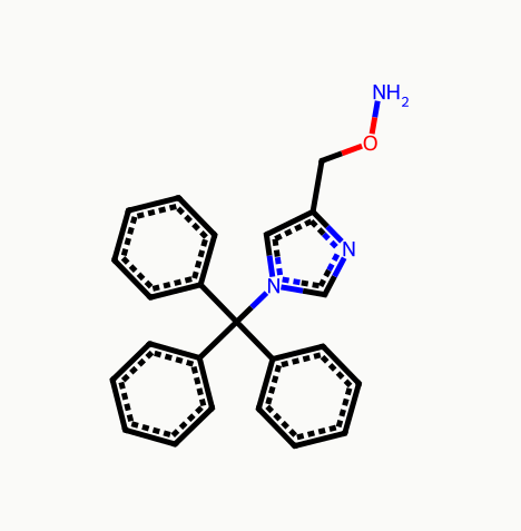 NOCc1cn(C(c2ccccc2)(c2ccccc2)c2ccccc2)cn1